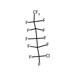 FC(F)(F)C(F)(F)C(F)(F)C(F)(F)C(F)(F)C(F)(F)Cl